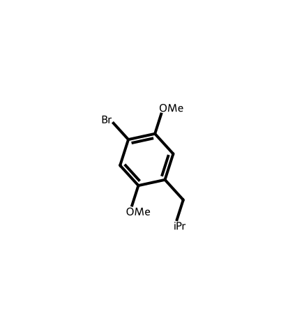 COc1cc(CC(C)C)c(OC)cc1Br